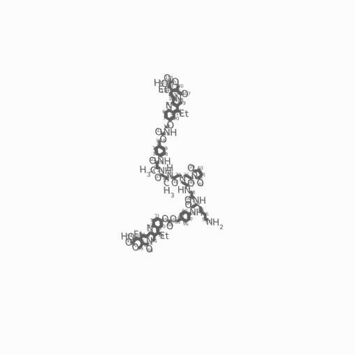 CCc1c2c(nc3ccc(OCNC(=O)OCc4ccc(NC(=O)[C@H](C)NC(=O)[C@H](C)NC(=O)CN(CCN5C(=O)C=CC5=O)CC(=O)NCC(=O)N[C@@H](CCCCN)C(=O)Nc5ccc(COC(=O)Oc6ccc7nc8c(c(CC)c7c6)Cn6c-8cc7c(c6=O)COC(=O)[C@]7(O)CC)cc5)cc4)cc13)-c1cc3c(c(=O)n1C2)COC(=O)[C@]3(O)CC